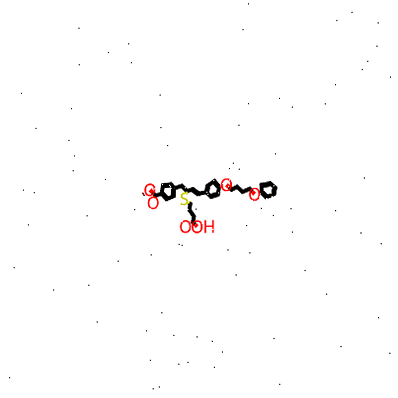 COC(=O)c1ccc(CC(/C=C/c2ccc(OCCCCOc3ccccc3)cc2)SCCCC(=O)O)cc1